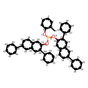 Cc1ccccc1OP(Oc1cc2ccc(-c3ccccc3)cc2cc1-c1ccccc1)Oc1cc2ccc(-c3ccccc3)cc2cc1-c1ccccc1